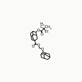 CCC(C)(C)C(=O)OC1C2CC3CC1CC(C(=O)OCOC1C4CC5CC(C4)CC1C5)(C3)C2